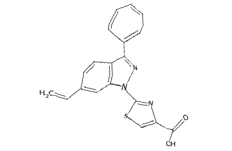 C=Cc1ccc2c(-c3ccccc3)nn(-c3nc(C(=O)O)cs3)c2c1